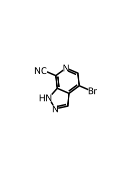 N#Cc1ncc(Br)c2cn[nH]c12